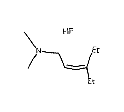 CCC(=CCN(C)C)CC.F